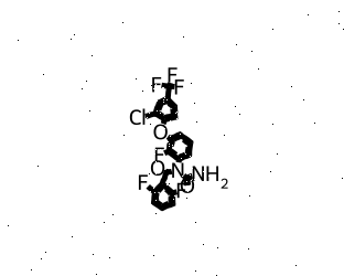 NC(=O)N(C(=O)c1c(F)cccc1F)c1cccc(Oc2ccc(C(F)(F)F)cc2Cl)c1F